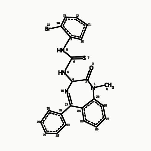 CN1C(=O)C(NC(=S)Nc2ccccc2Br)N=C(c2ccccc2)c2ccccc21